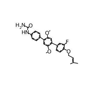 COc1cc(-c2ccc(OCC=C(C)C)c(F)c2)c(OC)cc1-c1ccc(NC(N)=O)cc1